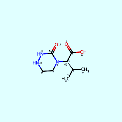 CC(C)[C@@H](C(=O)O)N1CCNNC1=O